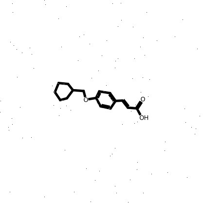 O=C(O)/C=C/c1ccc(OCC2CCCCC2)cc1